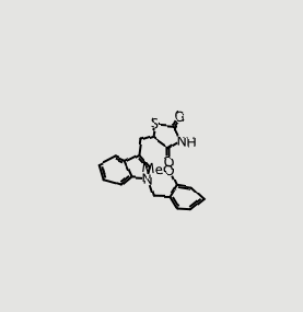 COc1ccccc1Cn1cc(CC2SC(=O)NC2=O)c2ccccc21